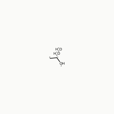 CCO.O.O